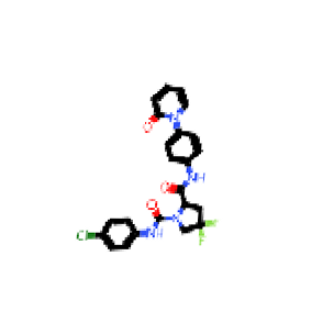 O=C(Nc1ccc(-n2ccccc2=O)cc1)C1CC(F)(F)CN1C(=O)Nc1ccc(Cl)cc1